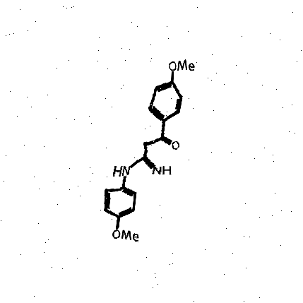 COc1ccc(NC(=N)CC(=O)c2ccc(OC)cc2)cc1